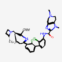 COc1nc(-c2cccc(-c3cccc(NC(=O)c4nc5c(n4C)CCN(C)C5)c3Cl)c2Cl)ccc1CN1CC[C@H]1C(=O)O